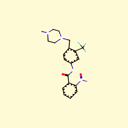 CN1CCN(Cc2ccc(NC(=O)c3ccccc3[N+](=O)[O-])cc2C(F)(F)F)CC1